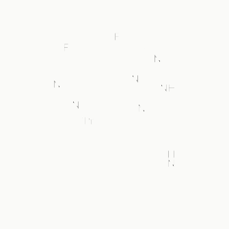 C=C(c1ccc(Nc2ncc(F)c(-c3cc(F)c4nc(C)n(C(C)C)c4c3)n2)nc1)C1CCCCN1